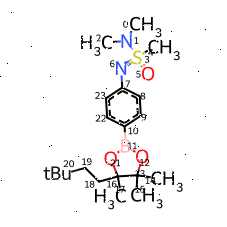 CN(C)S(C)(=O)=Nc1ccc(B2OC(C)(C)C(C)(CCC(C)(C)C)O2)cc1